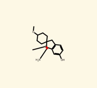 COC1CCC2(CC1)Cc1ccc(O)cc1C21N=C(N)N(C)O1